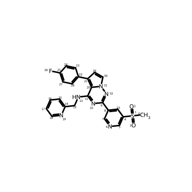 CS(=O)(=O)c1cncc(-c2nc(NCc3ccccn3)c3c(-c4ccc(F)cc4)ccn3n2)c1